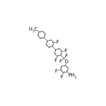 Cc1ccc(-c2ccc(-c3cc(F)c(C(F)(F)Oc4cc(F)c(F)c(P)c4)c(F)c3)c(F)c2)cc1